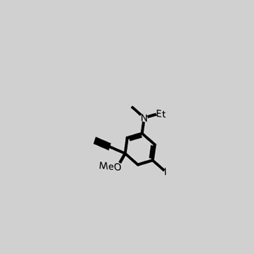 C#CC1(OC)C=C(N(C)CC)C=C(I)C1